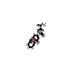 CC(=O)N(C)C1CN(c2ccc(N3C4CCCC3CSC4)c(F)c2)C(=O)O1